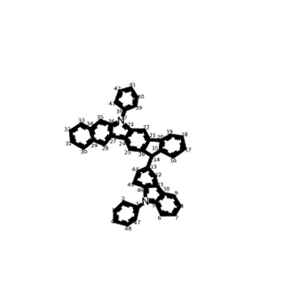 c1ccc(-n2c3ccccc3c3cc(C4c5ccccc5-c5cc6c(cc54)c4cc5ccccc5cc4n6-c4ccccc4)ccc32)cc1